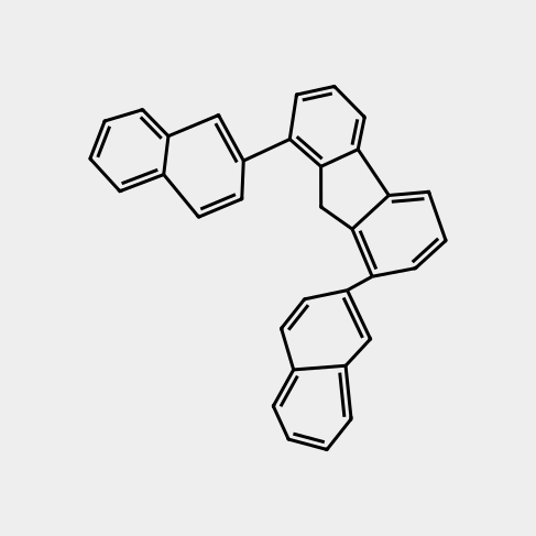 c1cc(-c2ccc3ccccc3c2)c2c(c1)-c1cccc(-c3ccc4ccccc4c3)c1C2